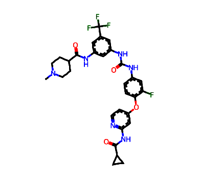 CN1CCC(C(=O)Nc2cc(NC(=O)Nc3ccc(Oc4ccnc(NC(=O)C5CC5)c4)c(F)c3)cc(C(F)(F)F)c2)CC1